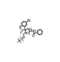 CC(C)(C)[Si](C)(C)OC[C@@H](F)[C@](NC(=S)NC(=O)c1ccccc1)(c1cc(Br)ccc1F)C(F)F